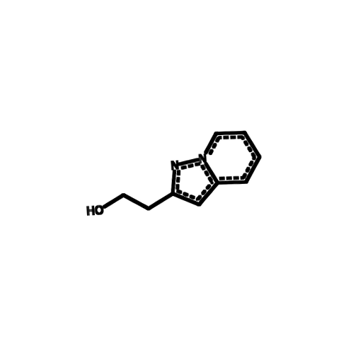 OCCc1cc2ccccn2n1